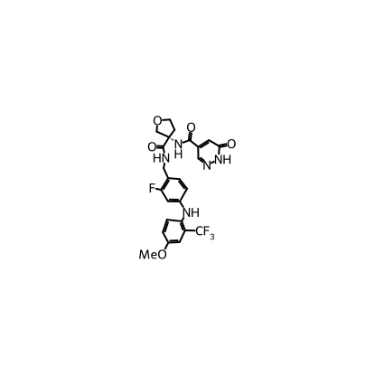 COc1ccc(Nc2ccc(CNC(=O)[C@]3(NC(=O)c4cn[nH]c(=O)c4)CCOC3)c(F)c2)c(C(F)(F)F)c1